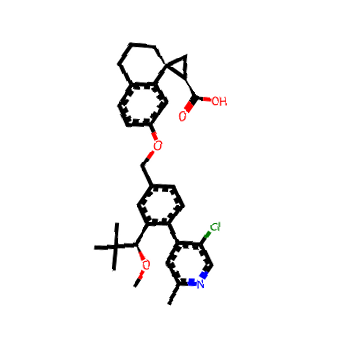 CO[C@H](c1cc(COc2ccc3c(c2)[C@]2(CCC3)C[C@H]2C(=O)O)ccc1-c1cc(C)ncc1Cl)C(C)(C)C